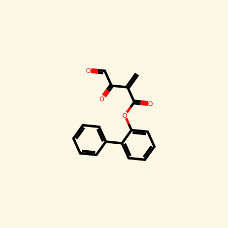 C=C(C(=O)C=O)C(=O)Oc1ccccc1-c1ccccc1